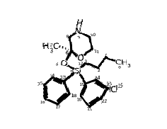 CCCC[Si](O[C@@]1(C)CNCCO1)(c1ccccc1)c1ccccc1.Cl